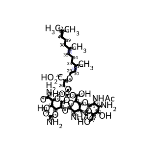 CC(=O)N[C@H]1C(N)[C@H](O)C(CO)O[C@H]1O[C@@H]1C(CO)O[C@@H](OC2[C@H](OP(=O)(O)OC[C@@H](OC/C=C(/C)CC/C=C(\C)CCC=C(C)C)C(=O)O)OC(C(N)=O)C(O)[C@@H]2OC(N)=O)[C@@H](NC(C)=O)C1N